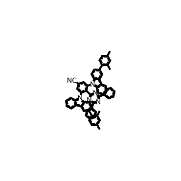 Cc1ccc(-c2ccc3c(c2)c2ccccc2n3-c2cc(C#N)cc(-n3c4ccccc4c4cc(-c5ccc(C)cc5C)ccc43)c2-c2nc(-c3ccccc3)nc(-c3ccccc3)n2)c(C)c1